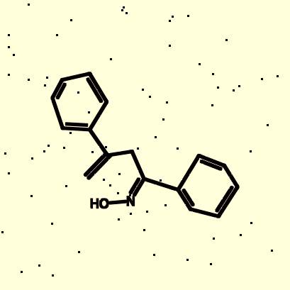 C=C(CC(=NO)c1ccccc1)c1ccccc1